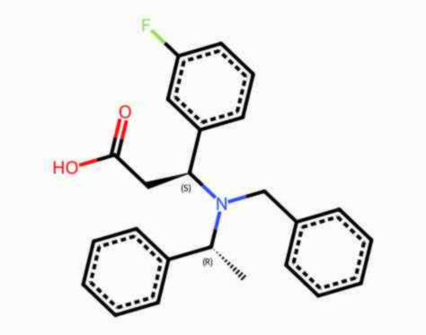 C[C@H](c1ccccc1)N(Cc1ccccc1)[C@@H](CC(=O)O)c1cccc(F)c1